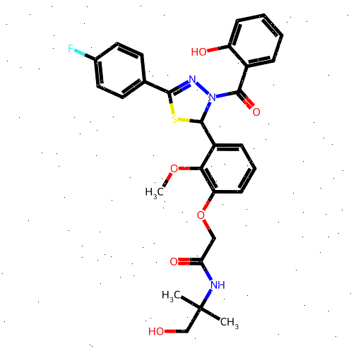 COc1c(OCC(=O)NC(C)(C)CO)cccc1C1SC(c2ccc(F)cc2)=NN1C(=O)c1ccccc1O